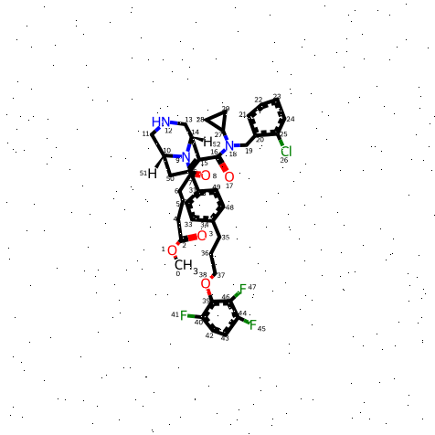 COC(=O)CCCC(=O)N1[C@H]2CNC[C@@H]1C(C(=O)N(Cc1ccccc1Cl)C1CC1)=C(c1ccc(CCCOc3c(F)ccc(F)c3F)cc1)C2